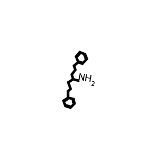 NCC(CCCc1ccccc1)CCCc1ccccc1